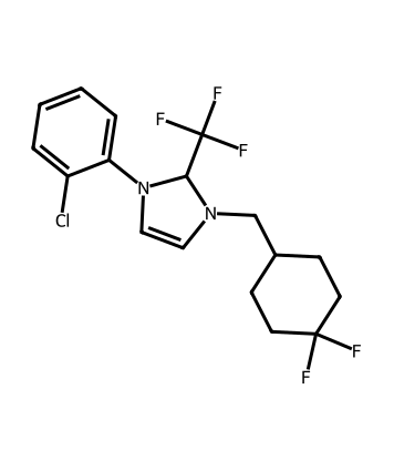 FC1(F)CCC(CN2C=CN(c3ccccc3Cl)C2C(F)(F)F)CC1